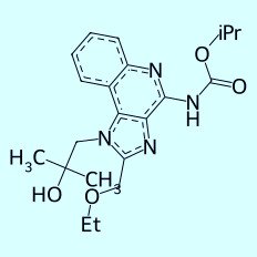 CCOCc1nc2c(NC(=O)OC(C)C)nc3ccccc3c2n1CC(C)(C)O